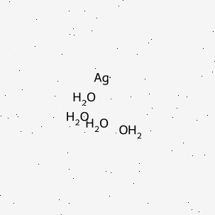 O.O.O.O.[Ag]